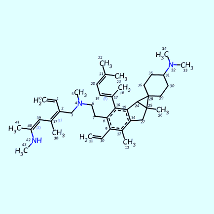 C=C/C(CN(C)CCc1c(C=C)c(C)c2c(c1/C(C)=C/C=C(C)C)C1C(C)(C2)C12CCC(N(C)C)CC2)=C(C)\C=C(\C)NC